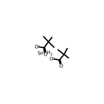 CC(C)(C)C(=O)[O-].CC(C)(C)C(=O)[O-].[SnH2+2]